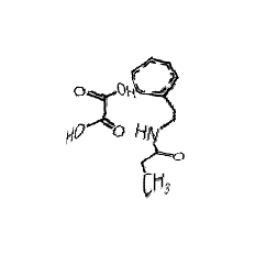 CCC(=O)NCc1ccccc1.O=C(O)C(=O)O